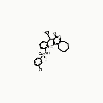 O=c1oc2c(c(O)c1C(c1cccc(NS(=O)(=O)c3cccc(Cl)c3)c1)C1CC1)CCCCCC2